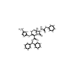 Nc1cnc(SC2=C(C(=O)OC(c3ccccc3)c3ccccc3)N3C(=O)[C@@H](NC(=O)Cc4ccccc4)[C@H]3SC2)s1